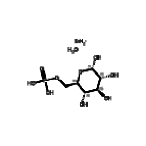 O.O=P(O)(O)OC[C@H]1O[C@H](O)[C@H](O)[C@@H](O)[C@@H]1O.[SnH2]